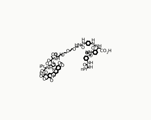 CCCNC(=O)Nc1cccc(S(=O)(=O)Nc2cccc(C(CC(=O)O)NC(=O)Nc3ccc(NC(=O)NCCOCCOCCOCCC(=O)NC(CC(=O)O)C(=O)N4CCCC4C(=O)NC(C(=O)OC4(CC)C(=O)OCc5c4cc4n(c5=O)Cc5cc6cc7c(cc6nc5-4)OCO7)C(C)C)cc3)c2)c1